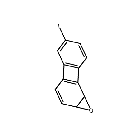 Ic1ccc2c(c1)C1=C2C2OC2C=C1